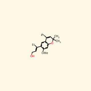 CCC(=CCO)c1cc2c(cc1OC)OC(C)(C)C=C2C(C)C